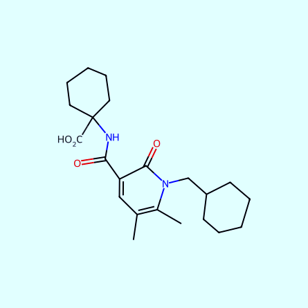 Cc1cc(C(=O)NC2(C(=O)O)CCCCC2)c(=O)n(CC2CCCCC2)c1C